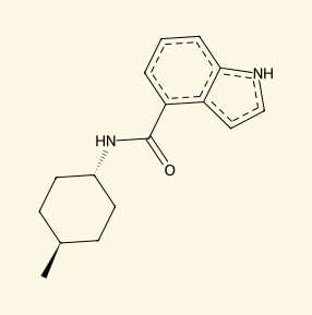 C[C@H]1CC[C@H](NC(=O)c2cccc3[nH]ccc23)CC1